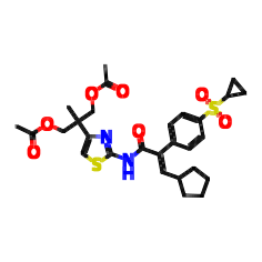 CC(=O)OCC(C)(COC(C)=O)c1csc(NC(=O)/C(=C/C2CCCC2)c2ccc(S(=O)(=O)C3CC3)cc2)n1